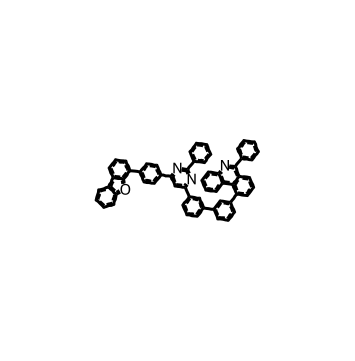 c1ccc(-c2nc(-c3ccc(-c4cccc5c4oc4ccccc45)cc3)cc(-c3cccc(-c4cccc(-c5cccc6c(-c7ccccc7)nc7ccccc7c56)c4)c3)n2)cc1